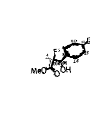 COC(=O)[C@@](C)(F)[C@H](O)c1ccc(F)cc1